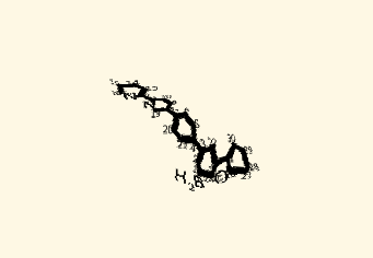 Bc1cc(-c2ccc(-c3ccc(-c4ccccn4)nc3)cc2)cc2c1oc1ccccc12